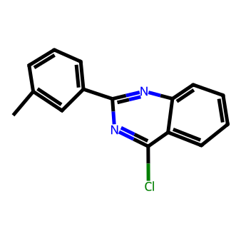 Cc1cccc(-c2nc(Cl)c3ccccc3n2)c1